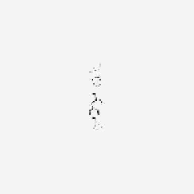 C[C@@H]1CCN1c1cc2ncc(C(=O)N[C@H]3CC[C@H](C(C)(C)O)CC3)cc2cn1